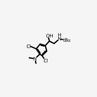 CN(C)c1c(Cl)cc(C(O)CNC(C)(C)C)cc1Cl